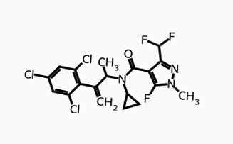 C=C(c1c(Cl)cc(Cl)cc1Cl)C(C)N(C(=O)c1c(C(F)F)nn(C)c1F)C1CC1